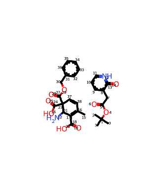 CC(C)(C)OC(=O)Cc1ccc[nH]c1=O.CC1=C(C(=O)O)C(N)C(C(=O)O)(C(=O)OCc2ccccc2)C=C1